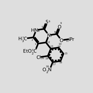 CCOC(=O)C1=C(C)NC(=S)N(C(=O)OC(C)C)C1c1cccc([N+](=O)[O-])c1Cl